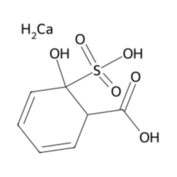 O=C(O)C1C=CC=CC1(O)S(=O)(=O)O.[CaH2]